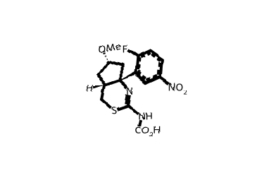 CO[C@H]1C[C@H]2CSC(NC(=O)O)=N[C@@]2(c2cc([N+](=O)[O-])ccc2F)C1